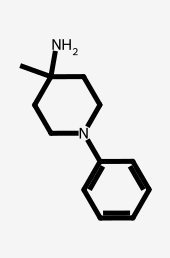 CC1(N)CCN(c2ccccc2)CC1